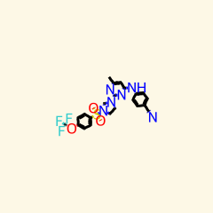 Cc1cc(Nc2ccc(C#N)cc2)nc(N2CCN(S(=O)(=O)c3ccc(OC(F)(F)F)cc3)C2)n1